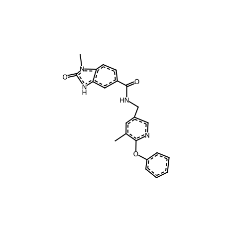 Cc1cc(CNC(=O)c2ccc3c(c2)[nH]c(=O)n3C)cnc1Oc1ccccc1